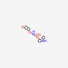 COc1ccc2ccc(OCCNCC(O)COc3cccc4[nH]c5ccccc5c34)cc2c1